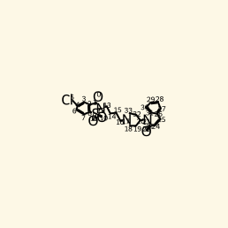 O=C1c2cc(Cl)ccc2S(=O)(=O)N1CCCCN1CCC(n2c(=O)ccc3ccccc32)CC1